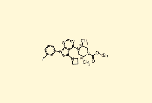 C[C@@H]1CN(c2ncnc3c2c(N2CCC2)cn3-c2cccc(F)c2)[C@@H](C)CN1C(=O)OC(C)(C)C